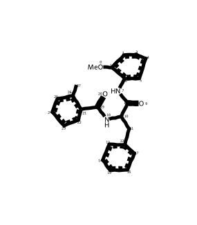 COc1ccccc1NC(=O)C(Cc1ccccc1)NC(=O)c1ccccc1C